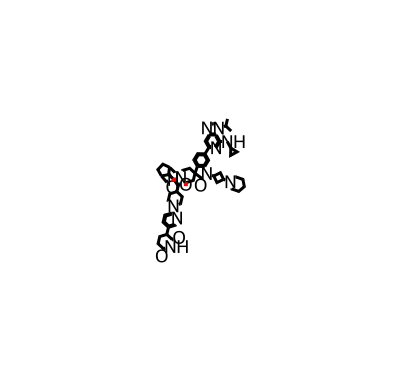 CC(C)n1cnc2cc(-c3ccc4c(c3)N(C3CC(N5CCCCC5)C3)C(=O)C43CCN(C(=O)C4C5CCC4CN(C(=O)C4CCN(c6ccc(C7CCC(=O)NC7=O)cn6)CC4)C5)CC3)nc(NC3CC3)c21